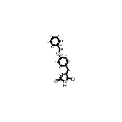 O=C1NC(=O)C(Cc2ccc(OCc3ccccc3)cc2)O1